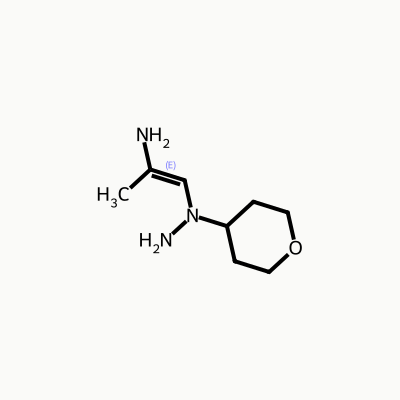 C/C(N)=C\N(N)C1CCOCC1